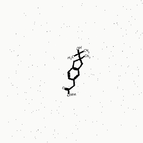 COC(=O)Cc1ccc2c(c1)CC(C)(C(C)(C)O)C2